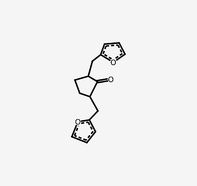 O=C1C(Cc2ccco2)CCC1Cc1ccco1